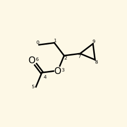 CCC(OC(C)=O)C1CC1